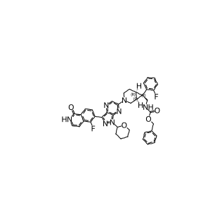 O=C(NC[C@]1(c2ccccc2F)[C@@H]2CCN(c3cnc4c(-c5ccc6c(=O)[nH]ccc6c5F)nn(C5CCCCO5)c4n3)C[C@@H]21)OCc1ccccc1